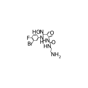 NCCNC(=O)Nc1cocc1/C(=N/O)Nc1ccc(F)c(Br)c1